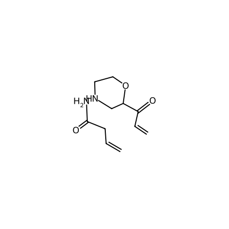 C=CC(=O)C1CNCCO1.C=CCC(N)=O